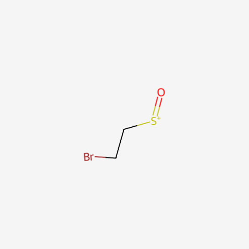 O=[S+]CCBr